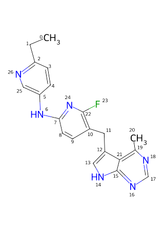 CCc1ccc(Nc2ccc(Cc3c[nH]c4ncnc(C)c34)c(F)n2)cn1